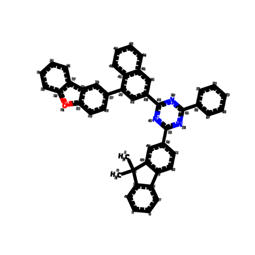 CC1(C)c2ccccc2-c2ccc(-c3nc(-c4ccccc4)nc(-c4cc(-c5ccc6oc7ccccc7c6c5)c5ccccc5c4)n3)cc21